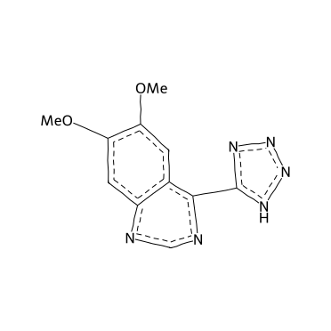 COc1cc2ncnc(-c3nnn[nH]3)c2cc1OC